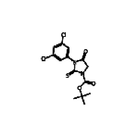 CC(C)(C)OC(=O)N1CC(=O)N(c2cc(Cl)cc(Cl)c2)C1=S